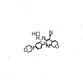 Cl.N#CC1=C(N)N(c2ccc(N3CCOCC3)cc2)N=C2COCC=C21